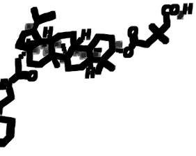 C=C(C)[C@@H]1CC[C@]2(CC(=O)NCCc3ccccc3)CC[C@]3(C)[C@H](CC[C@@H]4[C@@]5(C)CC[C@H](OC(=O)CC(C)(C)CC(=O)O)C(C)(C)[C@@H]5CC[C@]43C)[C@@H]12